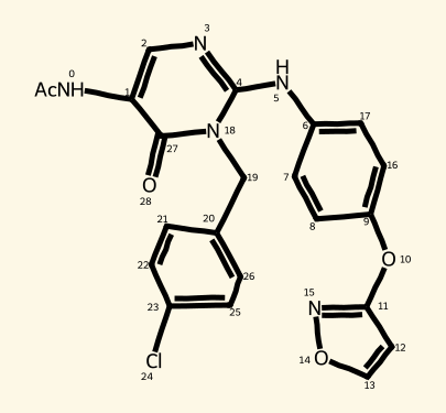 CC(=O)Nc1cnc(Nc2ccc(Oc3ccon3)cc2)n(Cc2ccc(Cl)cc2)c1=O